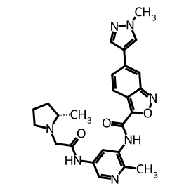 Cc1ncc(NC(=O)CN2CCC[C@@H]2C)cc1NC(=O)c1onc2cc(-c3cnn(C)c3)ccc12